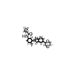 O=C(Nc1ccc(F)c(-n2cc3cc(C4COCCO4)cnc3n2)c1)N1CCC1